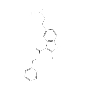 CCN(CC)CCc1ccc2[nH]c(C)c(C(=O)OCc3ccccc3)c2c1